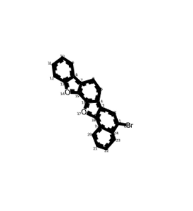 Brc1cc2c3ccc4c5ccccc5oc4c3oc2c2ccccc12